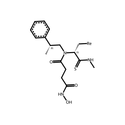 CNC(=S)[C@@H]([CH2][Re])N(C[C@H](C)c1ccccc1)C(=O)CCC(=O)NO